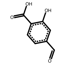 O=Cc1ccc(C(=O)O)c(O)c1